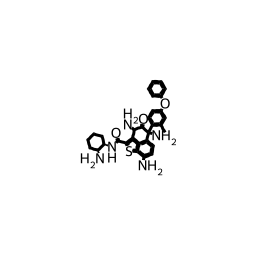 Cc1cc(Oc2ccccc2)ccc1C1(N)C(=O)C(N)c2c(C(=O)N[C@@H]3CCCC[C@@H]3N)sc3c(N)ccc1c23